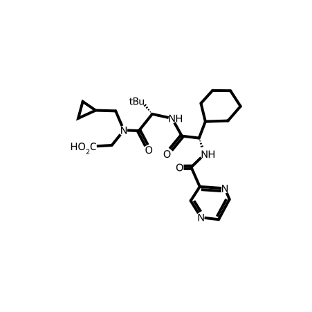 CC(C)(C)[C@H](NC(=O)[C@@H](NC(=O)c1cnccn1)C1CCCCC1)C(=O)N(CC(=O)O)CC1CC1